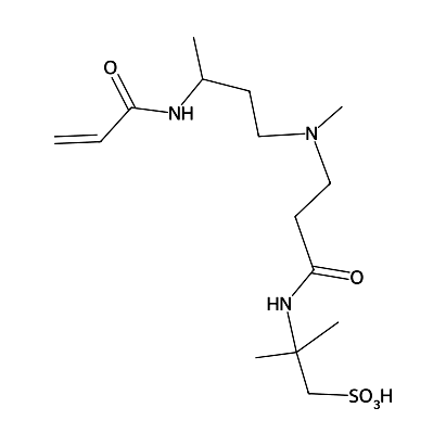 C=CC(=O)NC(C)CCN(C)CCC(=O)NC(C)(C)CS(=O)(=O)O